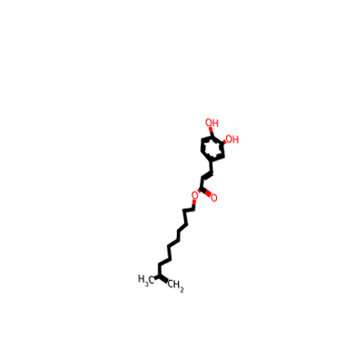 C=C(C)CCCCCCCCOC(=O)/C=C/c1ccc(O)c(O)c1